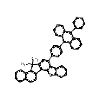 CC1(C)c2cc(-c3ccc(-c4c5ccccc5c(-c5ccccc5)c5ccccc45)cc3)c3c(sc4ccccc43)c2-c2ccc3ccccc3c21